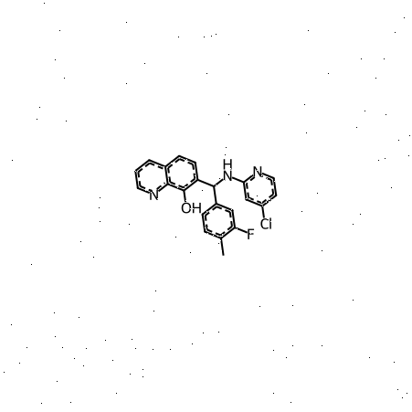 Cc1ccc(C(Nc2cc(Cl)ccn2)c2ccc3cccnc3c2O)cc1F